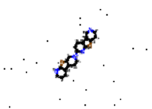 c1cnc2sc3c[n+](-c4ccc5c(n4)sc4ccncc45)ccc3c2c1